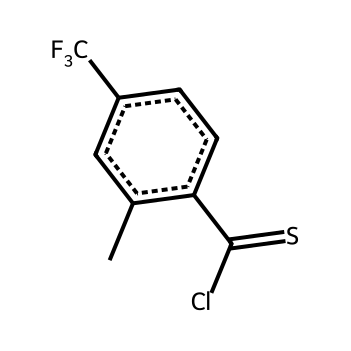 Cc1cc(C(F)(F)F)ccc1C(=S)Cl